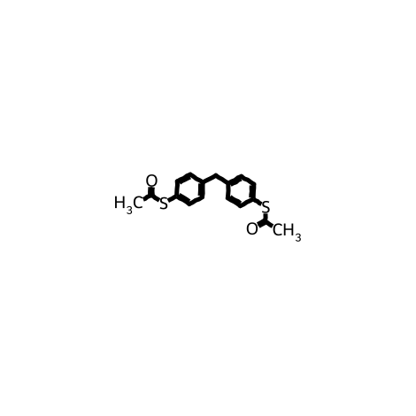 CC(=O)Sc1ccc(Cc2ccc(SC(C)=O)cc2)cc1